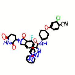 N#Cc1ccc(O[C@H]2CC[C@H](NC(=O)c3ccc(N4C5CC4CN(Cc4cc(F)c6c(c4)CN(C4CCC(=O)NC4=O)C6=O)C5)nn3)CC2)cc1Cl